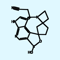 N#CCC(=O)N1CCC12CCC1(C2)OB(O)c2cnc3[nH]ccc3c21